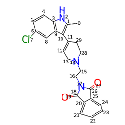 Cc1[nH]c2ccc(Cl)cc2c1C1=CCN(CCN2C(=O)c3ccccc3C2=O)CC1